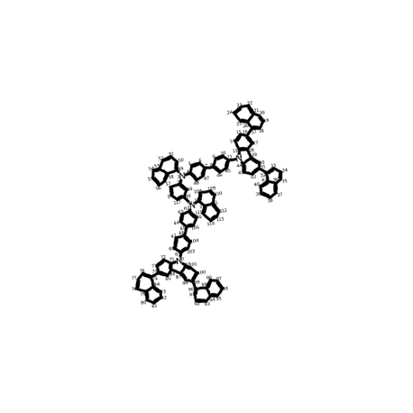 c1cc(N(c2ccc(-c3ccc(-n4c5ccc(-c6cccc7ccccc67)cc5c5cc(-c6cccc7ccccc67)ccc54)cc3)cc2)c2cccc3ccccc23)cc(N(c2ccc(-c3ccc(-n4c5ccc(-c6cccc7ccccc67)cc5c5cc(-c6cccc7ccccc67)ccc54)cc3)cc2)c2cccc3ccccc23)c1